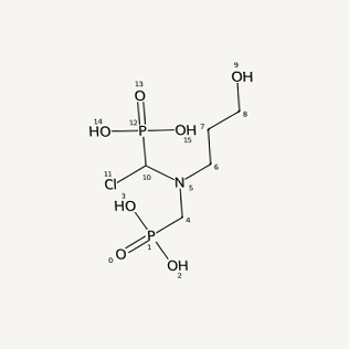 O=P(O)(O)CN(CCCO)C(Cl)P(=O)(O)O